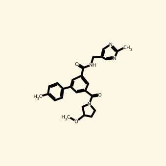 COC1CCN(C(=O)c2cc(C(=O)NCc3cnc(C)nc3)cc(-c3ccc(C)cc3)c2)C1